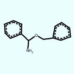 NC(OCc1ccccc1)c1cc[c]cc1